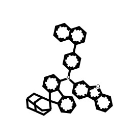 c1ccc2c(c1)-c1c(N(c3ccc(-c4cccc5ccccc45)cc3)c3ccc4c(c3)oc3ccccc34)cccc1C21C2CC3CC(C2)CC1C3